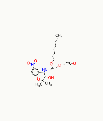 CCCCCCCCOC(=CN[C@@H]1c2cc([N+](=O)[O-])ccc2OC(C)(C)[C@H]1O)COCC=C=O